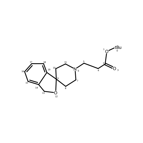 CC(C)(C)OC(=O)CCN1CCC2(CC1)OCc1ccccc12